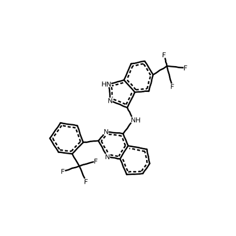 FC(F)(F)c1ccc2[nH]nc(Nc3nc(-c4ccccc4C(F)(F)F)nc4ccccc34)c2c1